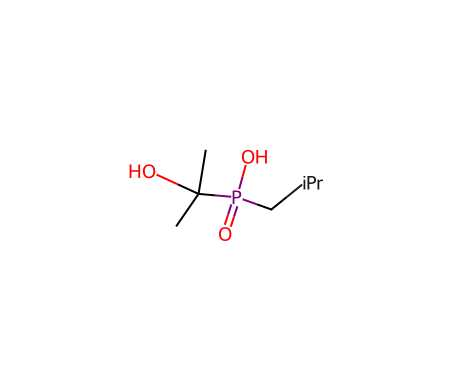 CC(C)CP(=O)(O)C(C)(C)O